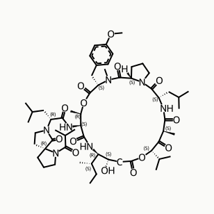 CC[C@H](C)[C@H]1NC(=O)[C@@H](NC(=O)[C@@H](CC(C)C)N2CC[C@]3(CCCN3C(=O)C(C)C)C2=O)[C@@H](C)OC(=O)[C@H](Cc2ccc(OC)cc2)N(C)C(=O)[C@@H]2CCCN2C(=O)[C@H](CC(C)C)NC(=O)[C@@H](C)C(=O)[C@H](C(C)C)OC(=O)C[C@@H]1O